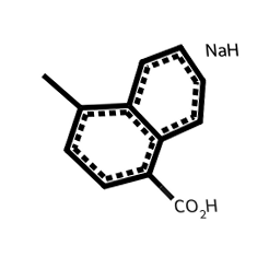 Cc1ccc(C(=O)O)c2ccccc12.[NaH]